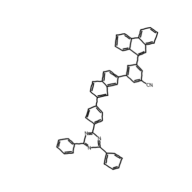 N#Cc1cc(-c2ccc3ccc(-c4ccc(-c5nc(-c6ccccc6)nc(-c6ccccc6)n5)cc4)cc3c2)cc(-c2cc3ccccc3c3ccccc23)c1